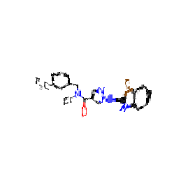 CCN(Cc1cccc(C(F)(F)F)c1)C(=O)c1cnn(-c2nc3ccccc3s2)c1